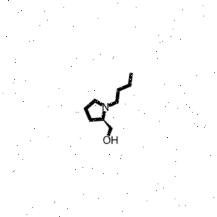 CCCCN1CCC[C@@H]1CO